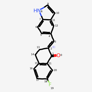 O=C1/C(=C/c2ccc3[nH]ccc3c2)CCc2ccc(F)cc21